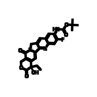 CC[C@@]1(O)C(=O)OCc2c1cc1n(c2=O)Cc2cc3cc(NC(=O)OC(C)(C)C)c(F)cc3nc2-1